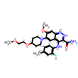 COCCOC1CCN(c2cc3c(Nc4ccc(C)cc4F)c(C(N)=O)nnc3cc2OC)CC1